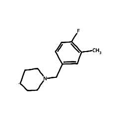 Cc1cc(CN2CC[CH]CC2)ccc1F